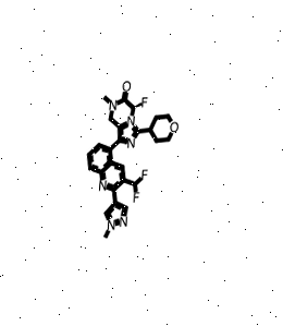 CN1Cc2c(-c3cccc4nc(-c5cnn(C)c5)c(C(F)F)cc34)nc(C3CCOCC3)n2[C@H](F)C1=O